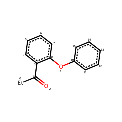 CCC(=O)c1ccccc1Oc1ccccc1